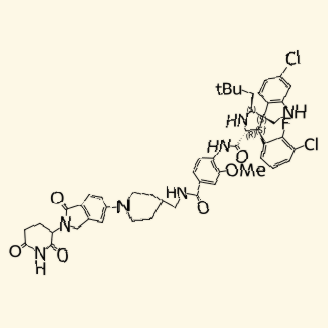 COc1cc(C(=O)NCC2CCN(c3ccc4c(c3)CN(C3CCC(=O)NC3=O)C4=O)CC2)ccc1NC(=O)[C@@H]1N[C@@H](CC(C)(C)C)[C@@]2(CNc3cc(Cl)ccc32)[C@H]1c1cccc(Cl)c1F